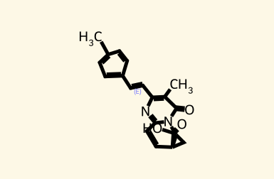 Cc1ccc(/C=C/c2nc3n(c(=O)c2C)C2CC2(C(=O)O)C=C3)cc1